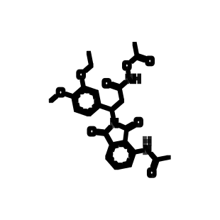 CCOc1cc(C(CC(=O)NOC(C)=O)N2C(=O)c3cccc(NC(C)=O)c3C2=O)ccc1OC